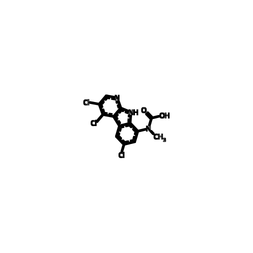 CN(C(=O)O)c1cc(Cl)cc2c1[nH]c1ncc(Cl)c(Cl)c12